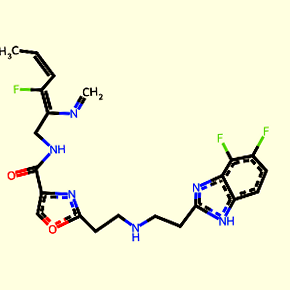 C=N/C(CNC(=O)c1coc(CCNCCc2nc3c(F)c(F)ccc3[nH]2)n1)=C(F)\C=C/C